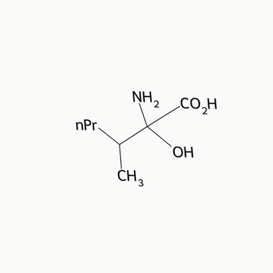 CCCC(C)C(N)(O)C(=O)O